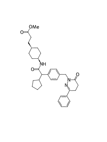 COC(=O)CC[C@H]1CC[C@@H](NC(=O)C(c2ccc(CN3N=C(c4ccccc4)CCC3=O)cc2)C2CCCC2)CC1